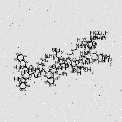 CC[C@H](C)[C@H](NC(=O)[C@H](CCCCN)NC(=O)[C@H](CCCCN)NC(=O)[C@H](CC(C)C)NC(=O)[C@H](Cc1ccccc1)NC(=O)[C@H](CCCCN)NC(=O)[C@H](Cc1c[nH]c2ccccc12)NC(=O)[C@@H](N)Cc1ccccc1)C(=O)N[C@@H](C)C(=O)N[C@@H](CCCCN)C(=O)N[C@@H](CCCCN)C(=O)N[C@@H](C)C(=O)N[C@@H](CC(C)C)C(=O)O